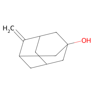 C=C1C2CC3CC1CC(O)(C3)C2